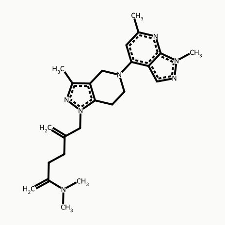 C=C(CCC(=C)N(C)C)Cn1nc(C)c2c1CCN(c1cc(C)nc3c1cnn3C)C2